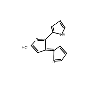 C1=CC(=C2C=CN=C2c2ccc[nH]2)N=C1.Cl